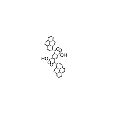 O=C(O)c1cc(C(=O)c2ccc3ccc4cccc5ccc2c3c45)c(C(=O)O)cc1C(=O)c1ccc2ccc3cccc4ccc1c2c34